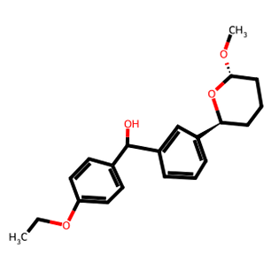 CCOc1ccc(C(O)c2cccc([C@@H]3CCC[C@@H](OC)O3)c2)cc1